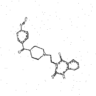 O=Nc1ccc(C(=O)C2CCN(CCn3c(=S)[nH]c4ccccc4c3=O)CC2)cc1